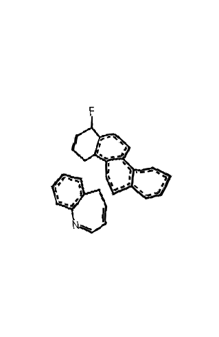 C1=CCc2ccccc2N=C1.FC1CCCc2c1ccc1c2ccc2ccccc21